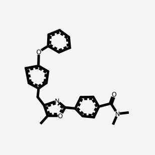 Cc1oc(-c2ccc(C(=O)N(C)C)cc2)nc1Cc1ccc(Oc2ccccc2)cc1